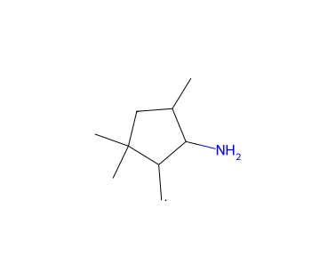 [CH2]C1C(N)C(C)CC1(C)C